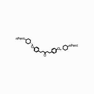 CCCCC[C@H]1CC[C@H](COc2ccc(CCC(=O)CCc3ccc(OC[C@H]4CC[C@H](CCCCC)CC4)cc3)cc2)CC1